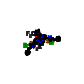 Cc1cc(C(F)(F)F)nn1CC(C(=O)C(Cn1nc(C(F)(F)F)cc1C)N1CCC(c2nc(C=Cc3ccccc3)c(Br)s2)CC1)N1CCC(c2nc(C=Cc3ccccc3)c(Br)s2)CC1